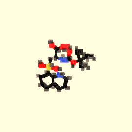 CC(C)(C)OC(=O)N[C@H](CS(=O)(=O)c1cccc2cccnc12)C(=O)O